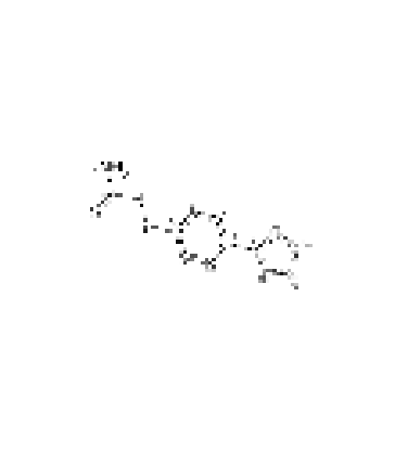 NC(=O)CCc1ccc(-c2ccsc2)cc1